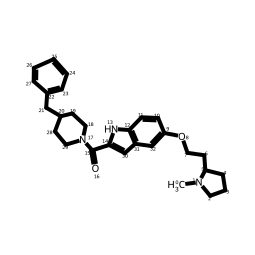 CN1CCCC1CCOc1ccc2[nH]c(C(=O)N3CCC(Cc4ccccc4)CC3)cc2c1